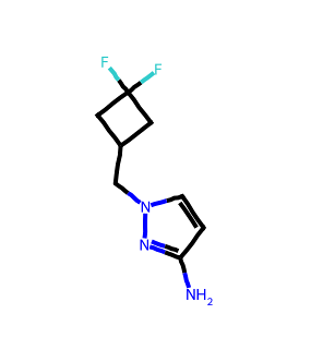 Nc1ccn(CC2CC(F)(F)C2)n1